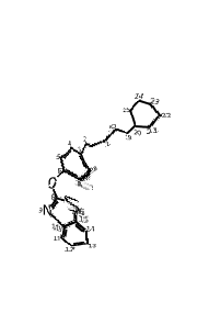 [CH](CCc1ccc(Oc2nc3ccccc3s2)cc1)CC1CCCCC1